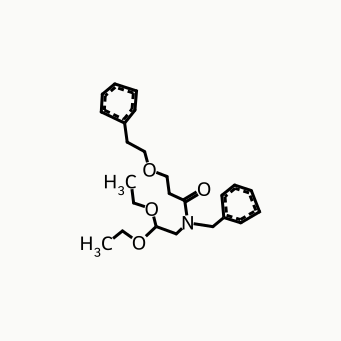 CCOC(CN(Cc1ccccc1)C(=O)CCOCCc1ccccc1)OCC